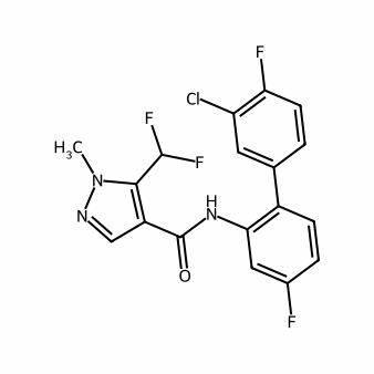 Cn1ncc(C(=O)Nc2cc(F)ccc2-c2ccc(F)c(Cl)c2)c1C(F)F